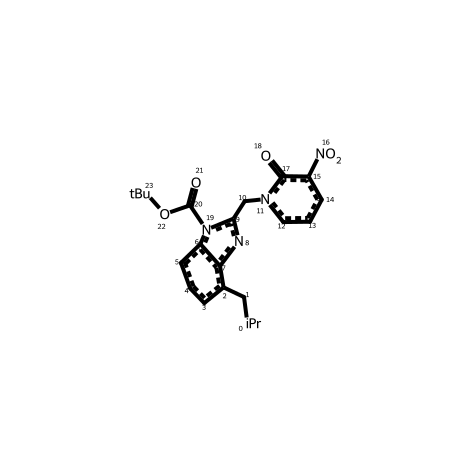 CC(C)Cc1cccc2c1nc(Cn1cccc([N+](=O)[O-])c1=O)n2C(=O)OC(C)(C)C